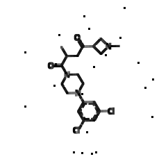 CC(CC(=O)C1CN(C)C1)C(=O)N1CCN(c2cc(Cl)cc(Cl)c2)CC1